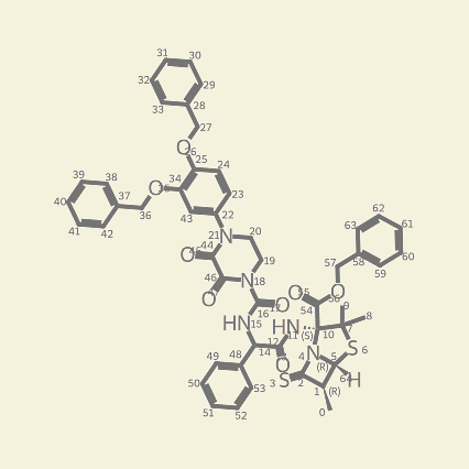 C[C@H]1C(=S)N2[C@@H]1SC(C)(C)[C@]2(NC(=O)C(NC(=O)N1CCN(c2ccc(OCc3ccccc3)c(OCc3ccccc3)c2)C(=O)C1=O)c1ccccc1)C(=O)OCc1ccccc1